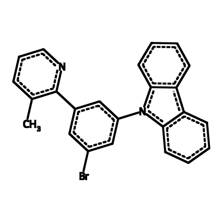 Cc1cccnc1-c1cc(Br)cc(-n2c3ccccc3c3ccccc32)c1